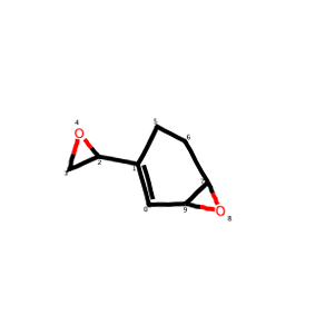 C1=C(C2CO2)CCC2OC12